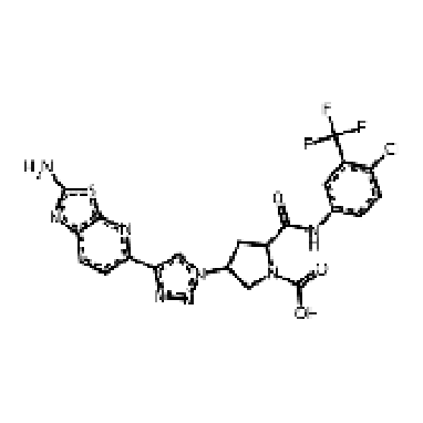 Nc1nc2ccc(-c3cn(C4CC(C(=O)Nc5ccc(Cl)c(C(F)(F)F)c5)N(C(=O)O)C4)nn3)nc2s1